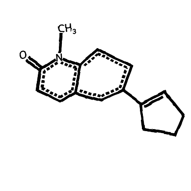 Cn1c(=O)ccc2cc(C3=CCCC3)ccc21